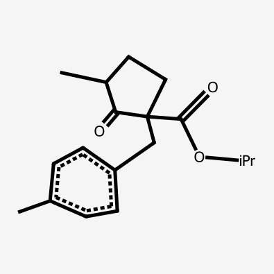 Cc1ccc(CC2(C(=O)OC(C)C)CCC(C)C2=O)cc1